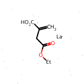 C=C(CC(=O)OCC)C(=O)O.[La]